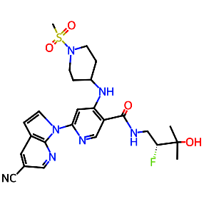 CC(C)(O)[C@H](F)CNC(=O)c1cnc(-n2ccc3cc(C#N)cnc32)cc1NC1CCN(S(C)(=O)=O)CC1